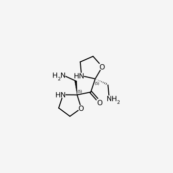 NC[C@]1(C(=O)[C@@]2(CN)NCCO2)NCCO1